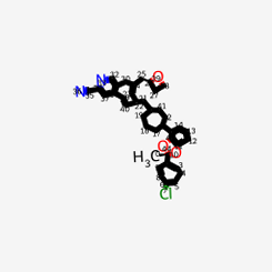 C[C@]1(C2=CCC=C(Cl)C=C2)Oc2cccc(C3CCCC(CC4/C=C(\C[C@@H]5CCO5)Cc5cnc(C#N)cc5/C=C/4)CC3)c2O1